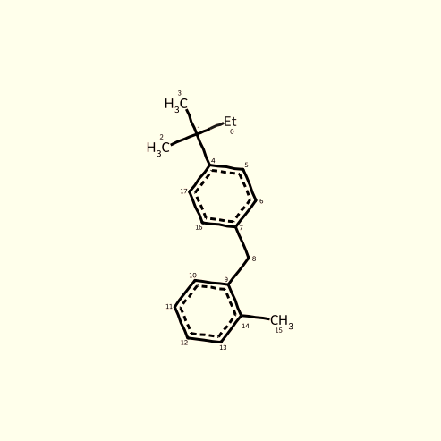 CCC(C)(C)c1ccc(Cc2ccccc2C)cc1